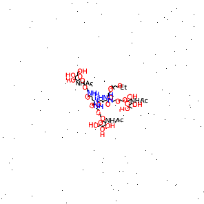 CCOCCC(C)(C)OCCC(=O)NC(CCC(=O)NC(CCC(=O)NCCOCCOC1OC(CO)C(O)C(O)C1NC(C)=O)C(=O)NCCOCCOC1OC(CO)C(O)C(O)C1NC(C)=O)C(=O)NCCOCCOC(OC(CO)C(C)O)C(O)NC(C)=O